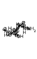 CC(=O)NCC(=O)NC(=O)N(CCOCO)CC(=O)NC(=O)NCC(=O)N(CC=O)CC(=O)NCCN